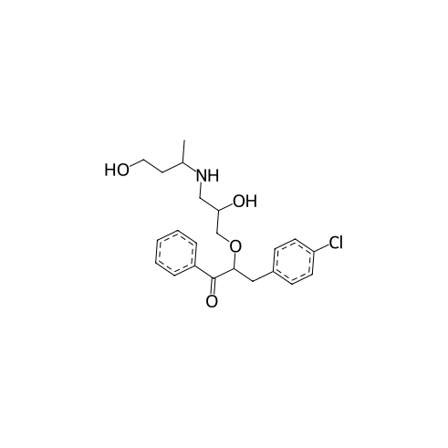 CC(CCO)NCC(O)COC(Cc1ccc(Cl)cc1)C(=O)c1ccccc1